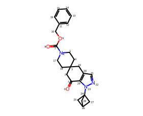 O=C1CC2(CCN(C(=O)OCc3ccccc3)CC2)Cc2cnn(C34CC(C3)C4)c21